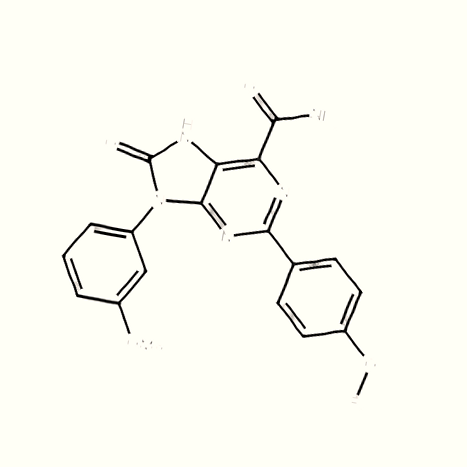 CCOc1ccc(-c2nc(C(N)=O)c3[nH]c(=O)n(-c4cccc(OC)c4)c3n2)cc1